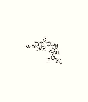 COc1ccc(CNC(=O)c2ccc(-c3cc(NC(=O)c4cc(F)cc(N5CCOCC5)c4)cnc3C)cc2)cc1OC